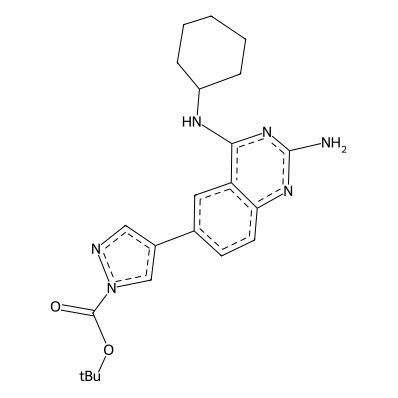 CC(C)(C)OC(=O)n1cc(-c2ccc3nc(N)nc(NC4CCCCC4)c3c2)cn1